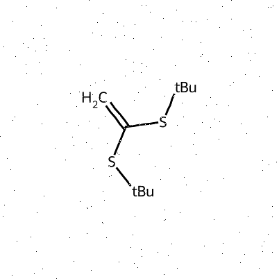 C=C(SC(C)(C)C)SC(C)(C)C